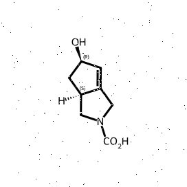 O=C(O)N1CC2=C[C@H](O)C[C@@H]2C1